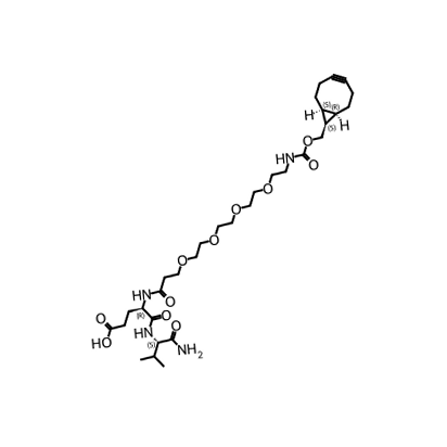 CC(C)[C@H](NC(=O)[C@@H](CCC(=O)O)NC(=O)CCOCCOCCOCCOCCNC(=O)OC[C@@H]1[C@@H]2CCC#CCC[C@@H]21)C(N)=O